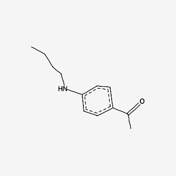 CCCCNc1ccc(C(C)=O)cc1